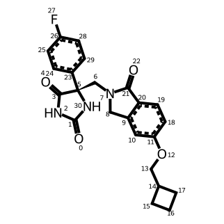 O=C1NC(=O)[C@](CN2Cc3cc(OCC4CCC4)ccc3C2=O)(c2ccc(F)cc2)N1